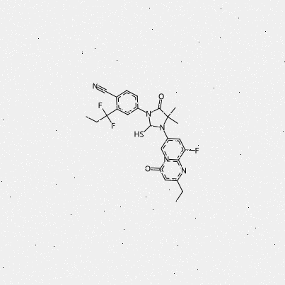 CCc1cc(=O)n2cc(N3C(S)N(c4ccc(C#N)c(C(F)(F)CC)c4)C(=O)C3(C)C)cc(F)c2n1